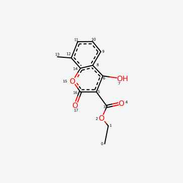 CCOC(=O)c1c(O)c2cccc(C)c2oc1=O